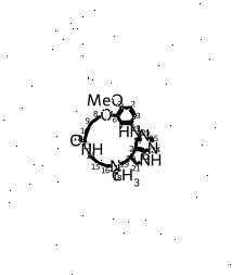 COc1ccc2cc1OCCCC(=O)NCCCN(C)CC1CNc3ncnc(c31)N2